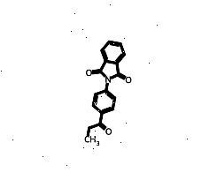 CCC(=O)c1ccc(N2C(=O)c3ccccc3C2=O)cc1